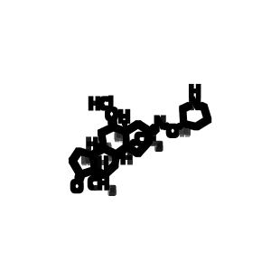 C[C@]12CCC(=NO[C@@H]3CCCNC3)C[C@@H]1C(=O)C[C@@H]1[C@@H]2CC[C@]2(C)C(=O)CC[C@@H]12.Cl